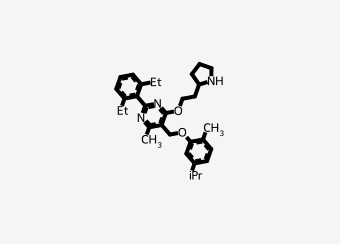 CCc1cccc(CC)c1-c1nc(C)c(COc2cc(C(C)C)ccc2C)c(OCCC2CCCN2)n1